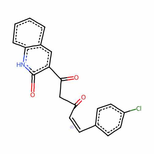 O=C(/C=C\c1ccc(Cl)cc1)CC(=O)c1cc2ccccc2[nH]c1=O